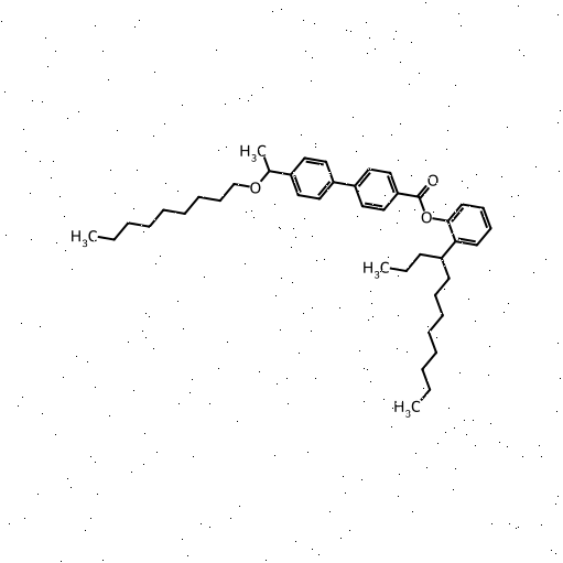 CCCCCCCCCOC(C)c1ccc(-c2ccc(C(=O)Oc3ccccc3C(CCC)CCCCCCCC)cc2)cc1